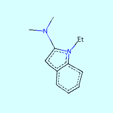 CCn1c(N(C)C)cc2ccccc21